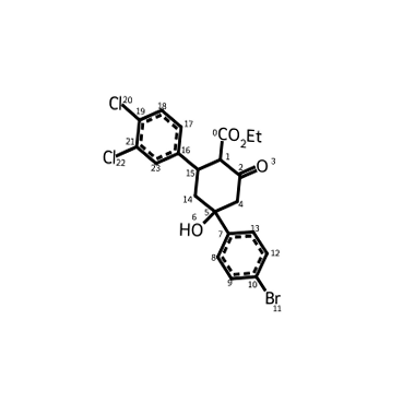 CCOC(=O)C1C(=O)CC(O)(c2ccc(Br)cc2)CC1c1ccc(Cl)c(Cl)c1